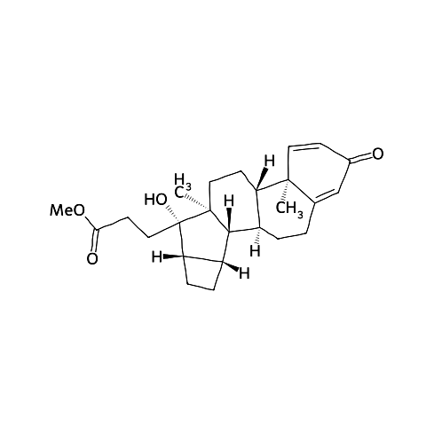 COC(=O)CC[C@]1(O)[C@H]2CC[C@H]2[C@H]2[C@@H]3CCC4=CC(=O)C=C[C@]4(C)[C@H]3CC[C@@]21C